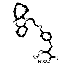 CCOC(Cc1ccc(OCCN2c3ccccc3Oc3ccccc32)cc1)C(=O)OC